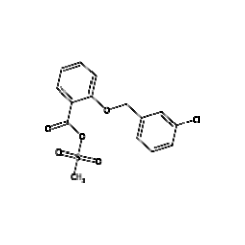 CS(=O)(=O)OC(=O)c1ccccc1OCc1cccc(Cl)c1